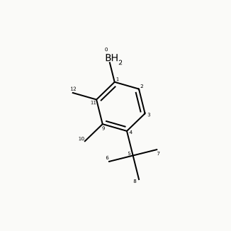 Bc1ccc(C(C)(C)C)c(C)c1C